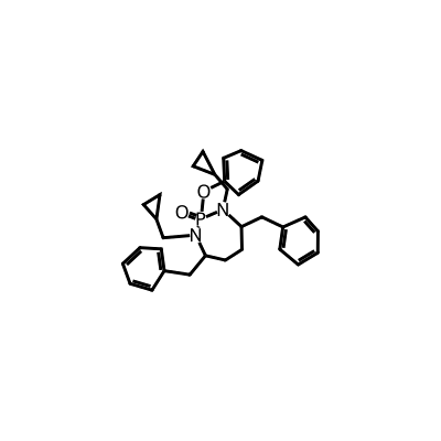 O=P1(Oc2ccccc2)N(CC2CC2)C(Cc2ccccc2)CCC(Cc2ccccc2)N1CC1CC1